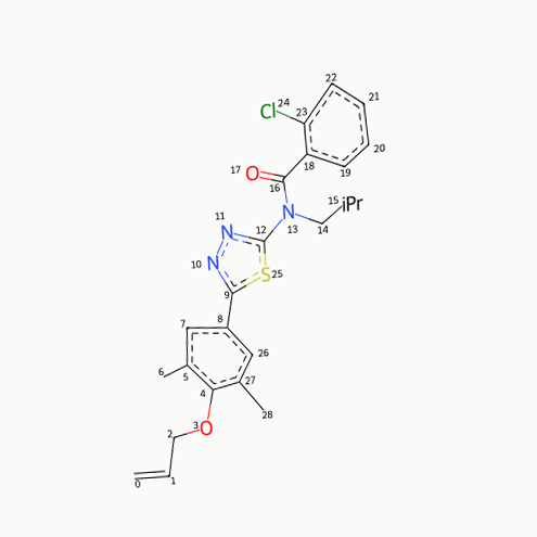 C=CCOc1c(C)cc(-c2nnc(N(CC(C)C)C(=O)c3ccccc3Cl)s2)cc1C